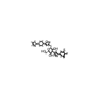 OC[C@H]1O[C@H](Cc2cc(C3CCN(c4nccs4)CC3)on2)[C@H](O)[C@@H](n2cc(-c3cc(F)c(F)c(F)c3)nn2)[C@H]1O